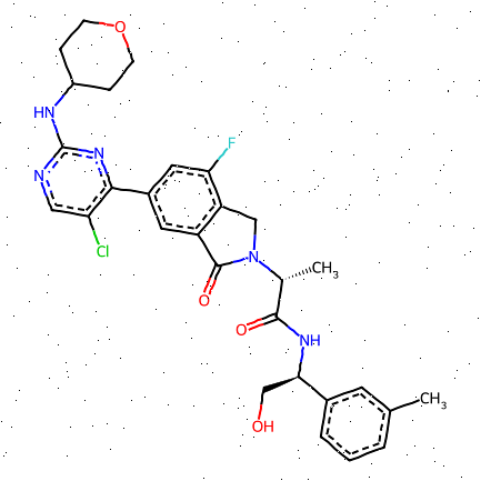 Cc1cccc([C@@H](CO)NC(=O)[C@@H](C)N2Cc3c(F)cc(-c4nc(NC5CCOCC5)ncc4Cl)cc3C2=O)c1